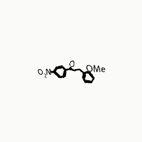 COc1ccccc1CCC(=O)c1ccc([N+](=O)[O-])cc1